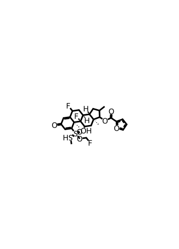 C[SH]=S(=O)(OCF)C1=CC(=O)C=C2C(F)C[C@H]3[C@@H]4CC(C)C(OC(=O)c5ccco5)[C@@]4(C)CC(O)[C@]3(F)[C@]21C